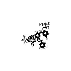 CCN(CC)C(=O)Oc1ccc(C)cc1Cc1ccc(N2CC(=O)N(CC[Si](C)(C)C)S2(=O)=O)c(OCc2ccccc2)c1